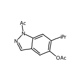 CC(=O)Oc1cc2cnn(C(C)=O)c2cc1C(C)C